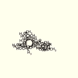 CC[C@H]1OC(=O)[C@H](C)[C@@H](OC2CC(C)(OC)C(O)C(C)O2)[C@H](C)[C@@H](OC2OC(C)CC(N(C)C)C2O)[C@](C)(O)C[C@@H](C)[C@H](NCCNC(=O)CCN(C)[C@H]2[C@@H](O)[C@@H](NC)[C@H](O)[C@H]3O[C@@H]4O[C@H](C)CC(=O)[C@]4(O)O[C@@H]32)[C@H](C)[C@@H](O)[C@]1(C)O